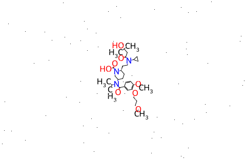 COCCCOc1cc(C(=O)N(C(C)C)[C@@H]2CC[C@H](CCN(C(=O)CC(C)(C)O)C3CC3)N(C(=O)O)C2)ccc1OC